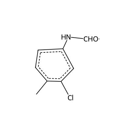 Cc1ccc(N[C]=O)cc1Cl